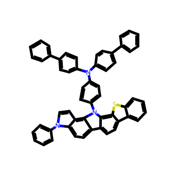 c1ccc(-c2ccc(N(c3ccc(-c4ccccc4)cc3)c3ccc(-n4c5c(ccc6c5ccn6-c5ccccc5)c5ccc6c7ccccc7sc6c54)cc3)cc2)cc1